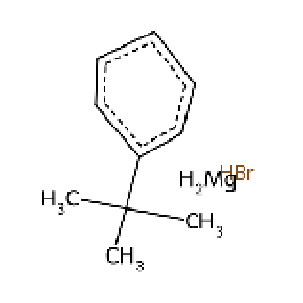 Br.CC(C)(C)c1ccccc1.[MgH2]